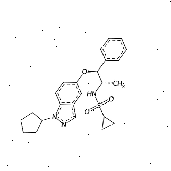 C[C@H](NS(=O)(=O)C1CC1)[C@@H](Oc1ccc2c(cnn2C2CCCC2)c1)c1ccccc1